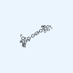 CCC(C(=O)Nc1ccc(N2CCN(c3ccc(-c4ccc(C(F)(F)[C@](O)(Cn5cnnn5)c5ccc(F)cc5F)nc4)cc3)CC2)cc1)C(C)O